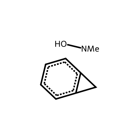 CNO.c1ccc2c(c1)C2